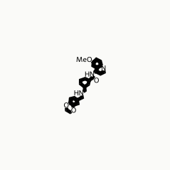 COc1ccc2nccc(NC(=O)C3CCCC(CNCc4ccc5c(c4)OCCO5)C3)c2c1